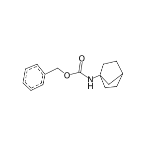 O=C(NC12CCC(CC1)C2)OCc1ccccc1